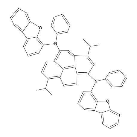 CC(C)c1ccc2c(N(c3ccccc3)c3cccc4c3oc3ccccc34)cc3c(C(C)C)cc(N(c4ccccc4)c4cccc5c4oc4ccccc45)c4ccc1c2c34